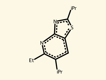 CCc1nc2nc(C(C)C)sc2cc1C(C)C